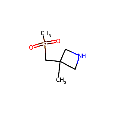 CC1(CS(C)(=O)=O)CNC1